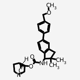 COCc1ccc(-c2ccc3c(c2)CC(C)(C)C3NC(=O)O[C@H]2CN3CCC2CC3)cc1